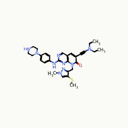 CCN(C#Cc1cc2cnc(Nc3ccc(N4CCNCC4)cc3)nc2n(Cc2nn(C)cc2SC)c1=O)CC